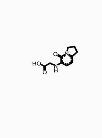 O=C(O)CNc1ccc2n(c1=O)CCC2